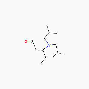 CCC(C[C]=O)N(CC(C)C)CC(C)C